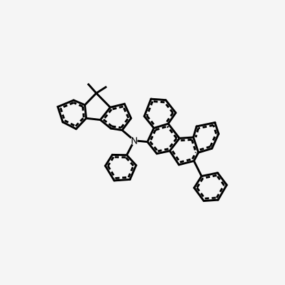 CC1(C)c2ccccc2-c2cc(N(c3ccccc3)c3cc4cc(-c5ccccc5)c5ccccc5c4c4ccccc34)ccc21